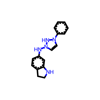 C1=CN(c2ccccc2)NN1Nc1ccc2c(c1)NCC2